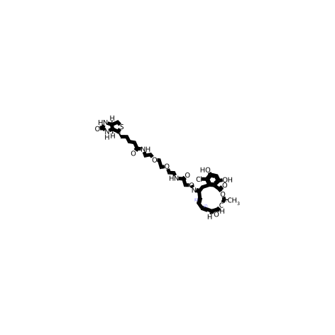 C[C@@H]1C[C@H]2O[C@@H]2/C=C\C=C\C(=NOCC(=O)NCCOCCOCCNC(=O)CCCC[C@@H]2SC[C@@H]3NC(=O)N[C@@H]32)Cc2c(Cl)c(O)cc(O)c2C(=O)O1